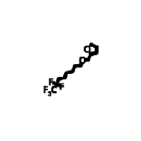 FC(F)(F)C(F)(F)CCCCCCOCC1CCCO1